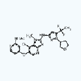 CC(=O)Nc1cc(Oc2cnc3nc(Nc4cc(C(C)(F)F)n(C5CCOC5)n4)n(C)c3c2Cl)ccn1